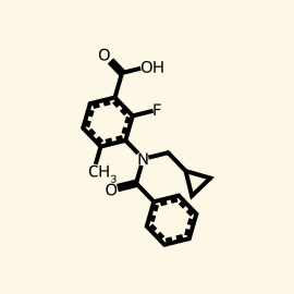 Cc1ccc(C(=O)O)c(F)c1N(CC1CC1)C(=O)c1ccccc1